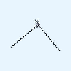 CCCCCCCCC=CCCCCCCCC[O][Sn]([CH3])([O]CCCCCCCCC=CCCCCCCCC)[O][Sn]([CH3])([CH3])[CH3]